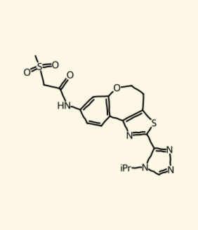 CC(C)n1cnnc1-c1nc2c(s1)CCOc1cc(NC(=O)CS(C)(=O)=O)ccc1-2